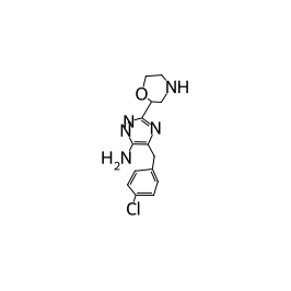 Nc1nnc(C2CNCCO2)nc1Cc1ccc(Cl)cc1